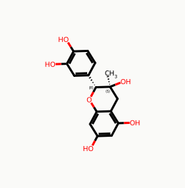 C[C@]1(O)Cc2c(O)cc(O)cc2O[C@@H]1c1ccc(O)c(O)c1